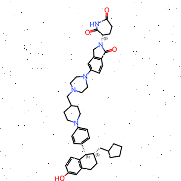 O=C1CC[C@H](N2Cc3cc(N4CCN(CC5CCN(c6ccc([C@H]7c8ccc(O)cc8CC[C@H]7CC7CCCC7)cc6)CC5)CC4)ccc3C2=O)C(=O)N1